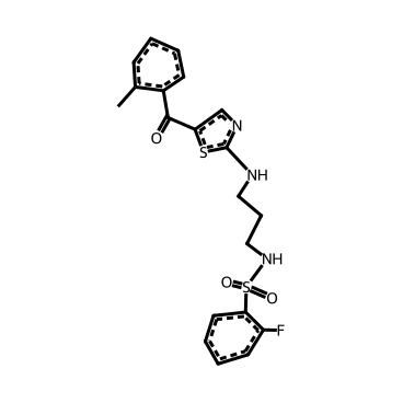 Cc1ccccc1C(=O)c1cnc(NCCCNS(=O)(=O)c2ccccc2F)s1